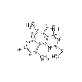 CSc1nc(-c2ccc(F)cc2C)c2c(C(N)=O)c[nH]c2n1